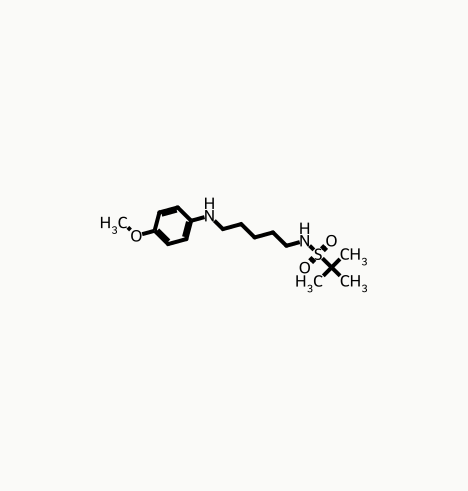 COc1ccc(NCCCCCNS(=O)(=O)C(C)(C)C)cc1